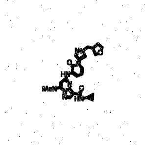 CNc1cc(Nc2cccn(-c3cnn(CC4CCOC4)c3)c2=O)nc2c(C(=O)NC3CC3)cnn12